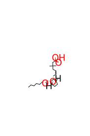 CCCCCCOC[C@@H]1[C@H](C/C=C\CC(C)(C)CC(=O)O)[C@@H]2CC[C@H]1O2